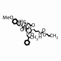 C=CCOC(=O)NCCC[C@H]1C(=O)N(CC(C)c2ccccc2)C[C@H]2N1C(=O)CN(C)N2C(=O)NCc1ccc(OC)cc1